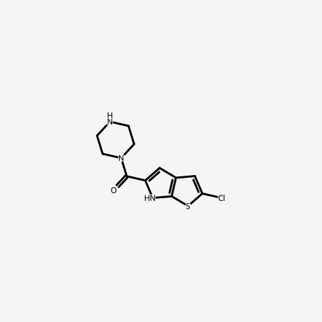 O=C(c1cc2cc(Cl)sc2[nH]1)N1CCNCC1